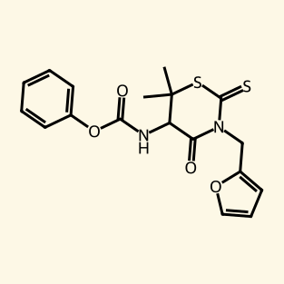 CC1(C)SC(=S)N(Cc2ccco2)C(=O)C1NC(=O)Oc1ccccc1